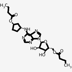 CCCC(=O)OC[C@H]1O[C@@H](n2cnc3c(N[C@@H]4CC[C@@H](OC(=O)CCC)C4)ncnc32)[C@H](O)[C@@H]1O